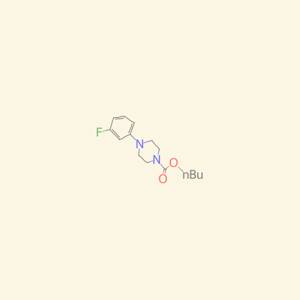 CCCCOC(=O)N1CCN(c2cccc(F)c2)CC1